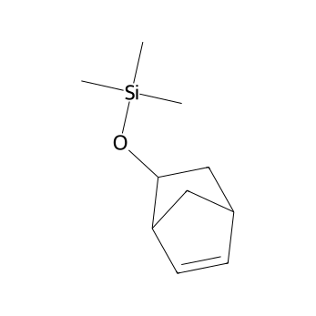 C[Si](C)(C)OC1CC2C=CC1C2